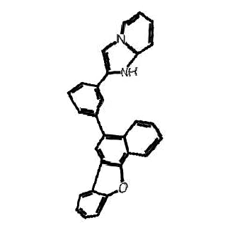 C1=CC2NC(c3cccc(-c4cc5c6ccccc6oc5c5ccccc45)c3)=CN2C=C1